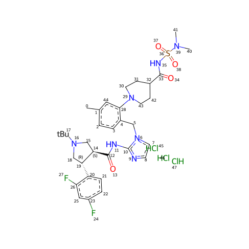 Cc1ccc(Cn2ccnc2NC(=O)[C@@H]2CN(C(C)(C)C)C[C@H]2c2ccc(F)cc2F)c(N2CCC(C(=O)NS(=O)(=O)N(C)C)CC2)c1.Cl.Cl.Cl